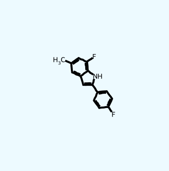 Cc1cc(F)c2[nH]c(-c3ccc(F)cc3)cc2c1